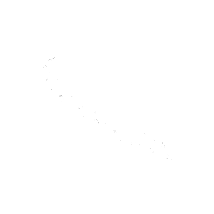 O=C=Nc1ccc(OCCOCCOCCOCCOc2ccc(N=C=O)cc2)cc1